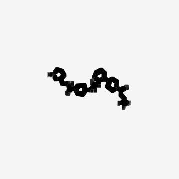 O=C(NCC1CCCNC1)c1ccc(Nc2nc3c(C4=CCN(C(=O)CCC(F)(F)F)CC4)cccn3n2)cc1